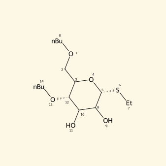 CCCCOCC1O[C@H](SCC)C(O)C(O)[C@@H]1OCCCC